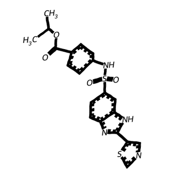 CC(C)OC(=O)c1ccc(NS(=O)(=O)c2ccc3nc(-c4cncs4)[nH]c3c2)cc1